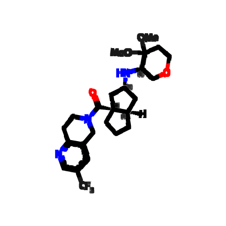 COC1(OC)CCOC[C@H]1N[C@@H]1C[C@H]2CCC[C@@]2(C(=O)N2CCc3ncc(C(F)(F)F)cc3C2)C1